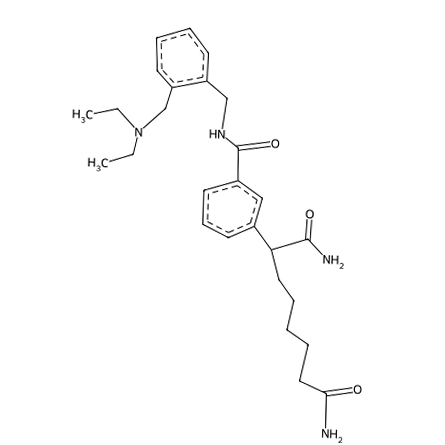 CCN(CC)Cc1ccccc1CNC(=O)c1cccc(C(CCCCCC(N)=O)C(N)=O)c1